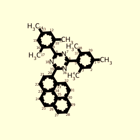 Cc1cc(C)c(-c2nc(-c3c(C)cc(C)cc3C)nc(-c3ccc4ccc5cccc6ccc3c4c56)n2)c(C)c1